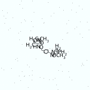 BC(C)(P)c1nc(-c2ccc(CONC(C(=C)C)C(=O)N(C)C)cc2)no1